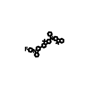 CC1(C)c2ccccc2-c2ccc(N(c3ccccc3)c3ccc4c(c3)C(C)(C)c3cc(-c5ccc6c(c5)c5ccccc5n6-c5ccc(F)cc5)ccc3-4)cc21